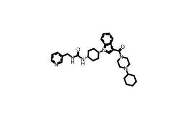 O=C(NCc1cccnc1)N[C@H]1CC[C@H](n2cc(C(=O)N3CCN(C4CCCCC4)CC3)c3ccccc32)CC1